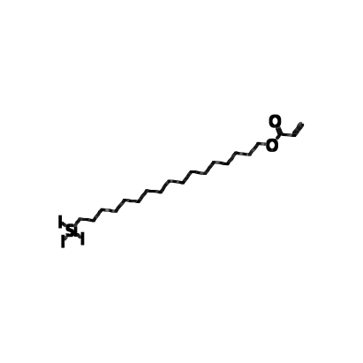 C=CC(=O)OCCCCCCCCCCCCCCCCC[Si](I)(I)I